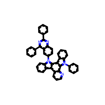 c1ccc(-c2nc(-c3ccccc3)c3cc(-n4c5ccccc5c5c6cccnc6c6c(c7ccccc7n6-c6ccccc6)c54)ccc3n2)cc1